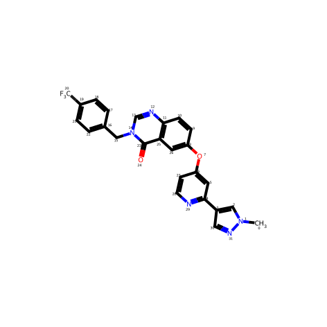 Cn1cc(-c2cc(Oc3ccc4ncn(Cc5ccc(C(F)(F)F)cc5)c(=O)c4c3)ccn2)cn1